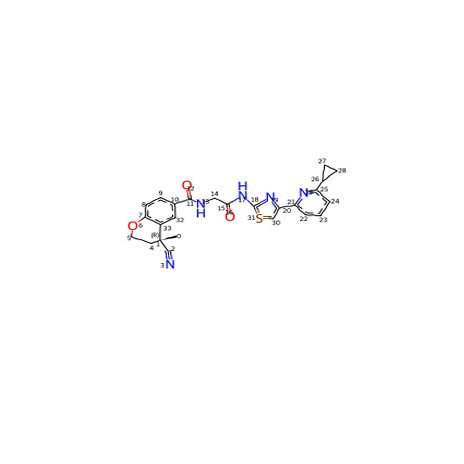 C[C@@]1(C#N)CCOc2ccc(C(=O)NCC(=O)Nc3nc(-c4cccc(C5CC5)n4)cs3)cc21